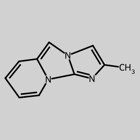 Cc1cn2cc3ccccn3c2n1